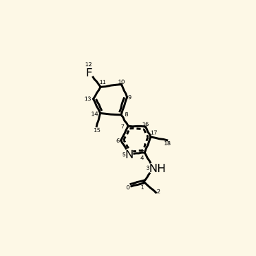 C=C(C)Nc1ncc(C2=CCC(F)C=C2C)cc1C